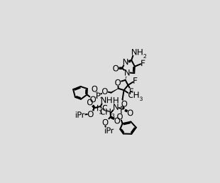 CC(C)OC(=O)[C@H](C)NP(=O)(OC[C@H]1O[C@H](n2cc(F)c(N)nc2=O)C(F)(F)C1(C)COP(=O)(N[C@@H](C)C(=O)OC(C)C)Oc1ccccc1)Oc1ccccc1